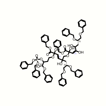 O=C(OCc1ccccc1)C(O)(/C=C/C(O)(COC(O)(/C=C(/O)C(O)C[C@@H](COCc1ccccc1)OCc1ccccc1)C(=O)OCc1ccccc1)C[C@@H](COCc1ccccc1)OCc1ccccc1)OCCC(OP(=O)(OCc1ccccc1)OCc1ccccc1)[C@H](O)OCc1ccccc1